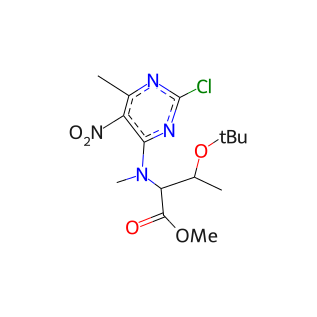 COC(=O)C(C(C)OC(C)(C)C)N(C)c1nc(Cl)nc(C)c1[N+](=O)[O-]